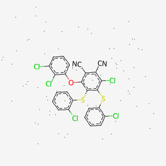 N#Cc1c(Cl)c(Sc2ccccc2Cl)c(Sc2ccccc2Cl)c(Oc2cccc(Cl)c2Cl)c1C#N